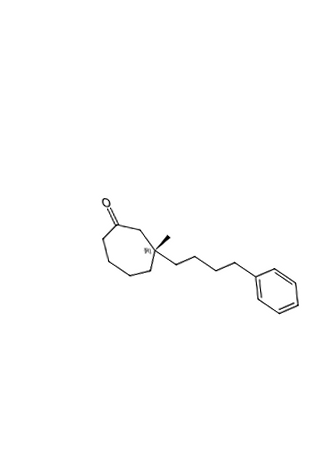 C[C@@]1(CCCCc2ccccc2)CCCCC(=O)C1